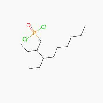 CCCCCCC(CC)C(CC)CP(=O)(Cl)Cl